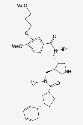 COCCCOc1cc(C(=O)N(C[C@@H]2CNC[C@H]2CN(C(=O)N2CC[C@H](C3C=CC=CC3)C2)C2CC2)C(C)C)ccc1OC